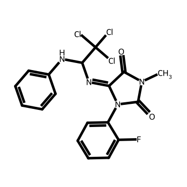 CN1C(=O)C(=NC(Nc2ccccc2)C(Cl)(Cl)Cl)N(c2ccccc2F)C1=O